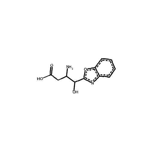 NC(CC(=O)O)C(O)c1nc2ccccc2o1